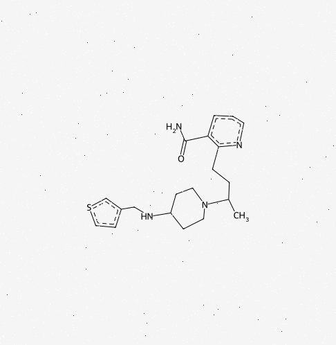 CC(CCc1ncccc1C(N)=O)N1CCC(NCc2ccsc2)CC1